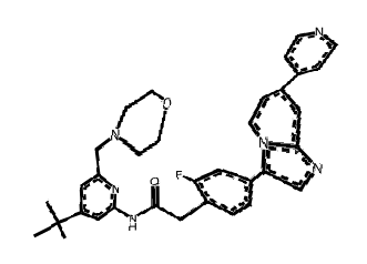 CC(C)(C)c1cc(CN2CCOCC2)nc(NC(=O)Cc2ccc(-c3cnc4cc(-c5ccncc5)ccn34)cc2F)c1